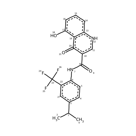 CC(C)c1ccc(NC(=O)c2c[nH]c3cccc(O)c3c2=O)c(C(F)(F)F)c1